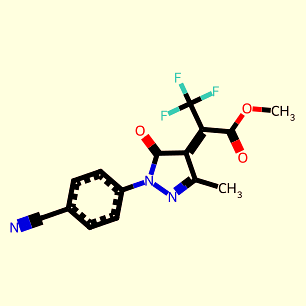 COC(=O)C(=C1C(=O)N(c2ccc(C#N)cc2)N=C1C)C(F)(F)F